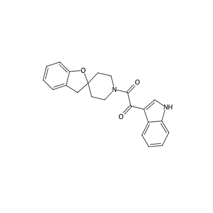 O=C(C(=O)N1CCC2(CC1)Cc1ccccc1O2)c1c[nH]c2ccccc12